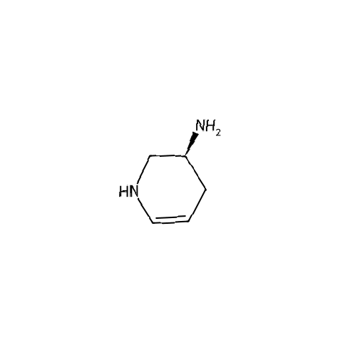 N[C@H]1CC=CNC1